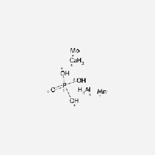 O=P(O)(O)O.[AlH3].[CaH2].[Mn].[Mo]